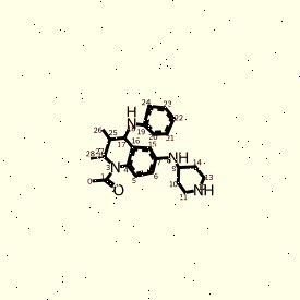 CC(=O)N1c2ccc(NC3CCNCC3)cc2C(Nc2ccccc2)C(C)[C@@H]1C